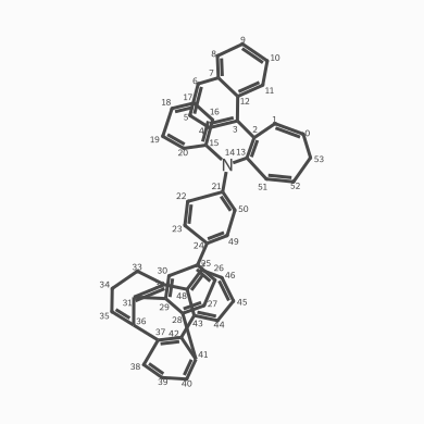 C1=CC(c2cccc3ccccc23)=C(N(c2ccccc2)c2ccc(-c3ccc4c(c3)C3=C5CCC=C3c3cccc-4c3-c3ccccc35)cc2)C=CC1